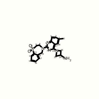 Cc1ccc2nc(N3CCS(=O)(=O)c4ccccc4C3)nc(N3CC(N)C3)c2c1